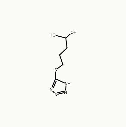 OC(O)CC[CH]Sc1nnn[nH]1